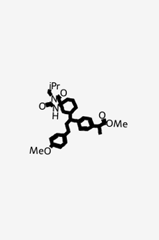 COC(=O)C(C)c1ccc(C(CCc2ccc(OC)cc2)C2CCCC3(C2)NC(=O)N(CC(C)C)C3=O)cc1